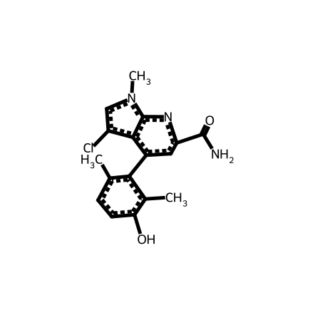 Cc1ccc(O)c(C)c1-c1cc(C(N)=O)nc2c1c(Cl)cn2C